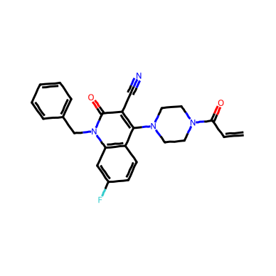 C=CC(=O)N1CCN(c2c(C#N)c(=O)n(Cc3ccccc3)c3cc(F)ccc23)CC1